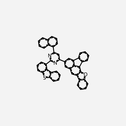 c1ccc2c(c1)-c1cc(-c3cc(-c4cccc5ccccc45)nc(-c4cccc5sc6ccccc6c45)n3)cc3cc4c(oc5ccccc54)c-2c13